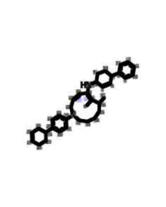 C/C1=C(NC2C=CC(c3ccccc3)CC2)\C=C/CN(c2ccc(C3CC=CCC3)cc2)CCCCC1C